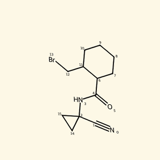 N#CC1(NC(=O)C2CCCCC2CBr)CC1